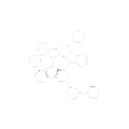 c1ccc(-c2cccc(-c3nc(-c4ccccc4)nc(-n4c5ccccc5c5c(-c6ccccc6)cc6c7ccccc7n(-c7ccccc7-c7ccccc7)c6c54)n3)c2)cc1